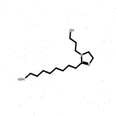 CCCCCCCCCCCCCCCCCCC1=NCCN1CCCO